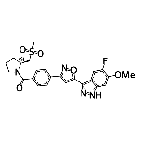 COc1cc2[nH]nc(-c3cc(-c4ccc(C(=O)N5CCC[C@H]5CS(C)(=O)=O)cc4)no3)c2cc1F